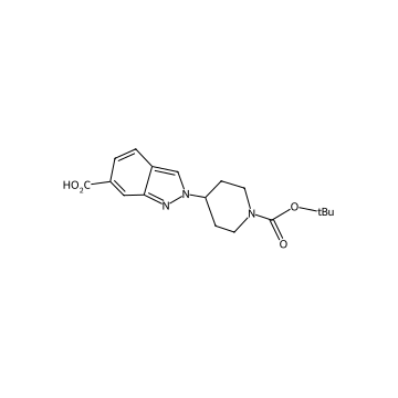 CC(C)(C)OC(=O)N1CCC(n2cc3ccc(C(=O)O)cc3n2)CC1